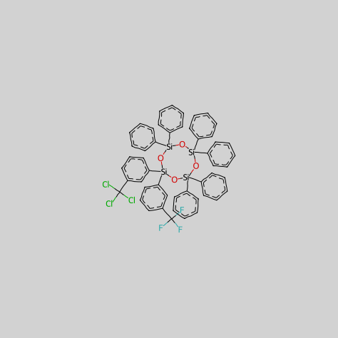 FC(F)(F)c1cccc([Si]2(c3cccc(C(Cl)(Cl)Cl)c3)O[Si](c3ccccc3)(c3ccccc3)O[Si](c3ccccc3)(c3ccccc3)O[Si](c3ccccc3)(c3ccccc3)O2)c1